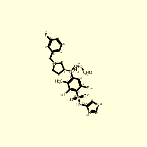 Cc1c(N(C)[C@H]2CCN(Cc3cccc(F)c3)C2)cc(F)c(S(=O)(=O)Nc2cscn2)c1F.O=CO